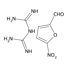 N=C(N)NC(=N)N.O=Cc1ccc([N+](=O)[O-])o1